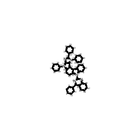 c1ccc(-c2nc(-n3c4ccccc4c4c5c6c(nc(-c7ccccc7)n6-c6ccccc6)n(-c6ccccc6)c5ccc43)nc3ccccc23)cc1